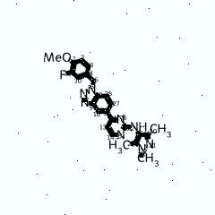 COc1ccc(Cn2nnc3cc(-c4ccnc(Nc5c(C)nn(C)c5C)n4)ccc32)cc1F